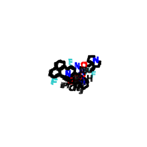 CC(C)[Si](C#Cc1c(F)ccc2cccc(-c3nc4c5c(nc(OCC67CCCN6CCC7=C(F)F)nc5c3F)N3C[C@H]5CC[C@@H]([C@H]3[C@H](C)O4)N5C(=O)OC(C)(C)C)c12)(C(C)C)C(C)C